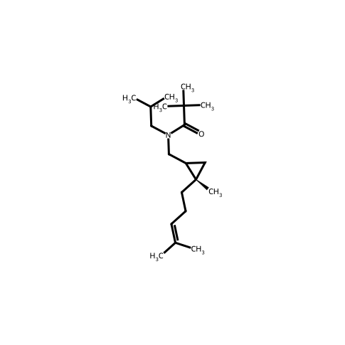 CC(C)=CCC[C@@]1(C)CC1CN(CC(C)C)C(=O)C(C)(C)C